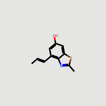 C/C=C/c1cc(O)cc2sc(C)nc12